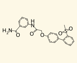 CS(=O)(=O)c1ccccc1-c1ccc(OCC(=O)Nc2cccc(C(N)=O)c2)cc1